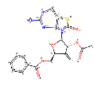 C=C1[C@@H](OC(C)=O)[C@H](n2c(=O)sc3cnc(N)nc32)O[C@@H]1COC(=O)c1ccccc1